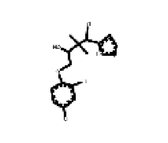 CC(C)(C(O)COc1ccc(Cl)cc1Cl)C(Cl)c1ccc[nH]1